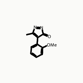 COc1ccccc1C1=C(C)N=NC1=O